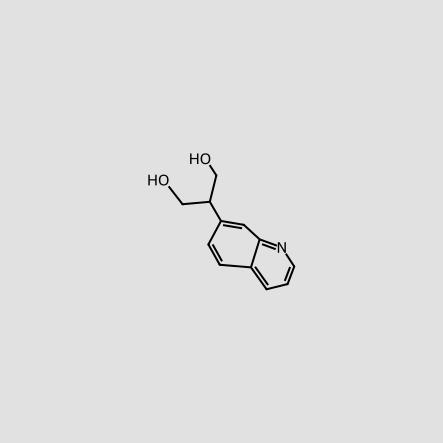 OCC(CO)c1ccc2cccnc2c1